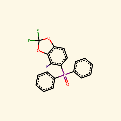 O=P(c1ccccc1)(c1ccccc1)c1ccc2c(c1I)OC(F)(F)O2